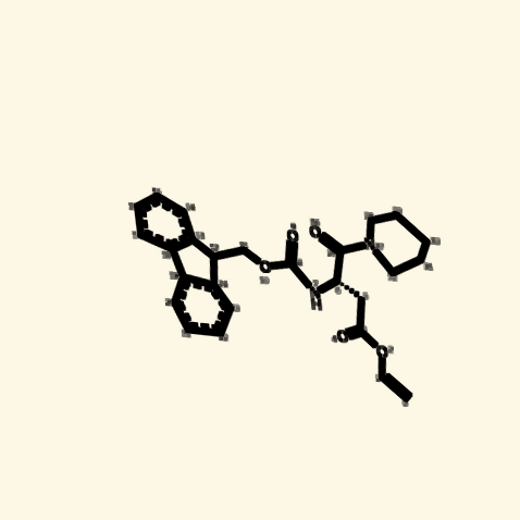 C=COC(=O)C[C@H](NC(=O)OCC1c2ccccc2-c2ccccc21)C(=O)N1CCCCC1